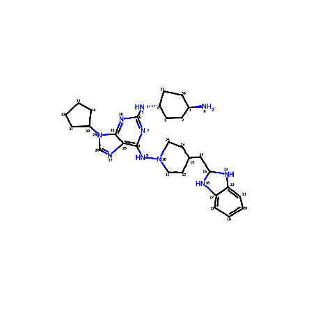 N[C@H]1CC[C@H](Nc2nc(NN3CCC(CC4Nc5ccccc5N4)CC3)c3ncn(C4CCCC4)c3n2)CC1